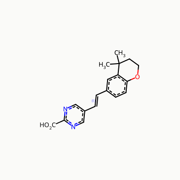 CC1(C)CCOc2ccc(/C=C/c3cnc(C(=O)O)nc3)cc21